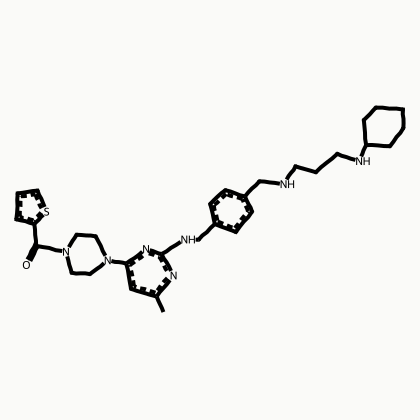 Cc1cc(N2CCN(C(=O)c3cccs3)CC2)nc(NCc2ccc(CNCCCNC3CCCCC3)cc2)n1